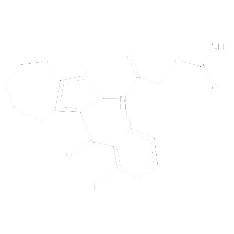 NC(=O)OCC(=O)Nc1sc2c(c1C(=O)c1c(F)cccc1F)CCCCO2